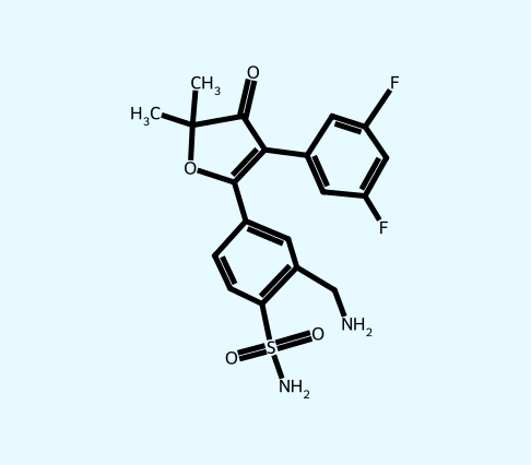 CC1(C)OC(c2ccc(S(N)(=O)=O)c(CN)c2)=C(c2cc(F)cc(F)c2)C1=O